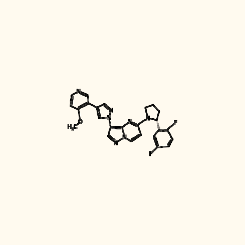 COc1ccncc1-c1cnn(-c2cnn3ccc(N4CCC[C@@H]4c4cc(F)ccc4F)nc23)c1